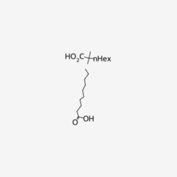 CCCCCCC(C)(C)C(=O)O.CCCCCCCCCC(=O)O